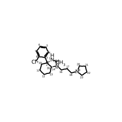 CN[C@@]1(c2ccccc2Cl)CCCC[C@@H]1NCCCN1CCCC1